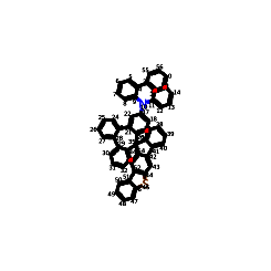 c1ccc(-c2ccccc2N(c2ccccc2)c2ccc3c(c2)-c2ccccc2-c2ccccc2C32c3ccccc3-c3cc4sc5ccccc5c4cc32)cc1